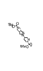 COC(=O)c1ccc(-n2cc3c(n2)CN(C(=O)OC(C)(C)C)C3)cn1